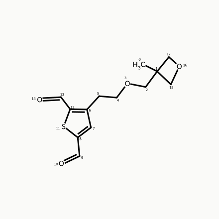 CC1(COCCc2cc(C=O)sc2C=O)COC1